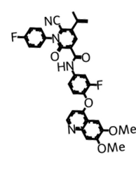 C=C(C)c1cc(C(=O)Nc2ccc(Oc3ccnc4cc(OC)c(OC)cc34)c(F)c2)c(=O)n(-c2ccc(F)cc2)c1C#N